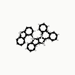 c1ccc2c(c1)sc1cccc(-n3c4ccccc4c4nc5c6ccccc6c6ccccc6n5c43)c12